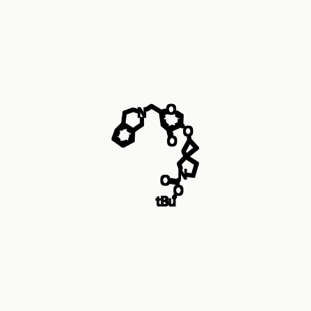 CC(C)(C)OC(=O)N1CCC2(CC(Oc3coc(CN4CCc5ccccc5C4)cc3=O)C2)C1